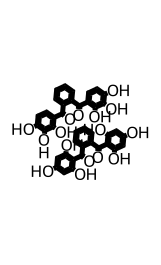 O=C(c1ccccc1C(=O)c1c(O)cc(O)cc1O)c1c(O)cc(O)cc1O.O=C(c1ccccc1C(=O)c1ccc(O)c(O)c1O)c1ccc(O)c(O)c1O